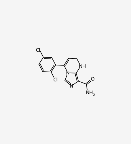 NC(=O)c1ncn2c1NCC=C2c1cc(Cl)ccc1Cl